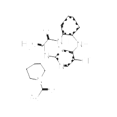 C=CC(=O)Nc1ccccc1Nc1nc(N[C@H]2CCCN(C(=O)C(C)=O)C2)ncc1C(F)(F)F